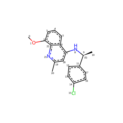 COc1cccc2c(N[C@@H](C)c3ccc(Cl)cc3)cc(C)nc12